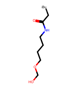 CCC(C)CC(=O)NCCCCOCO